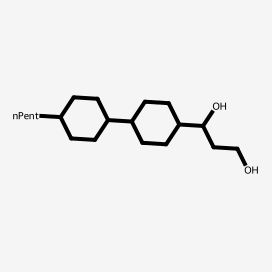 CCCCCC1CCC(C2CCC(C(O)CCO)CC2)CC1